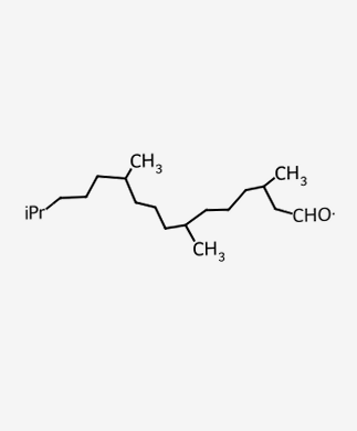 CC(C)CCCC(C)CCCC(C)CCCC(C)C[C]=O